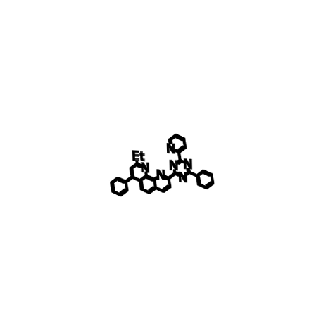 CCc1cc(-c2ccccc2)c2ccc3ccc(-c4nc(-c5ccccc5)nc(-c5ccccn5)n4)nc3c2n1